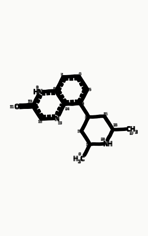 CC1CC(c2cccc3[nH]c(=O)cnc23)CC(C)N1